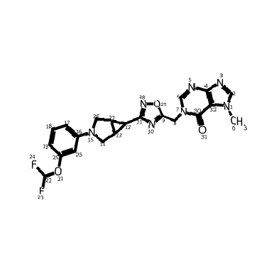 Cn1cnc2ncn(Cc3nc(C4C5CN(c6cccc(OC(F)F)c6)CC54)no3)c(=O)c21